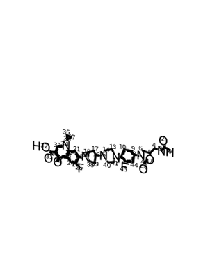 CC(=O)NCC1CN(c2ccc(N3CCN(C4CCN(c5cc6c(cc5F)c(=O)c(C(=O)O)cn6C5CC5)CC4)CC3)c(F)c2)C(=O)O1